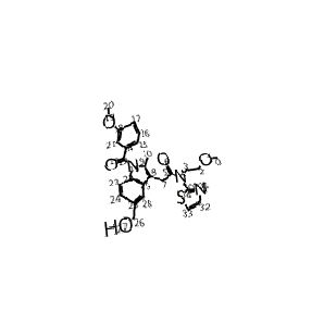 COCCN(C(=O)Cc1c(C)n(C(=O)c2cccc(OC)c2)c2ccc(CO)cc12)c1nccs1